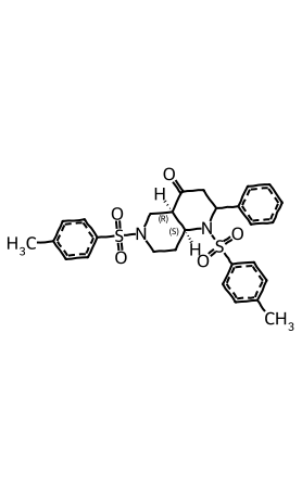 Cc1ccc(S(=O)(=O)N2CC[C@H]3[C@@H](C2)C(=O)CC(c2ccccc2)N3S(=O)(=O)c2ccc(C)cc2)cc1